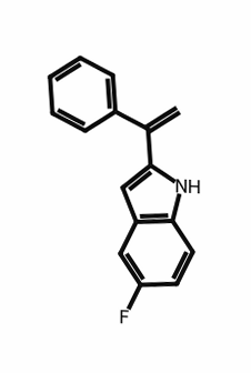 C=C(c1ccccc1)c1cc2cc(F)ccc2[nH]1